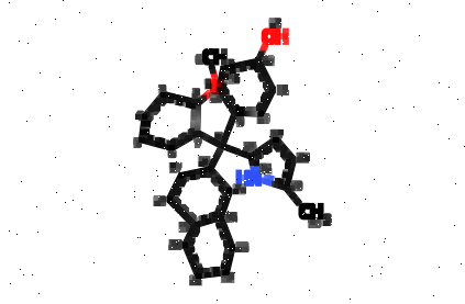 COc1ccccc1C(c1ccc(O)cc1)(c1ccc2ccccc2c1)c1ccc(C)[nH]1